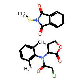 Cc1cccc(C)c1N(C(=O)CCl)C1CCOC1=O.O=C1c2ccccc2C(=O)N1SC(Cl)(Cl)Cl